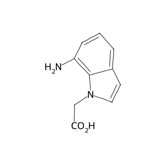 Nc1cccc2ccn(CC(=O)O)c12